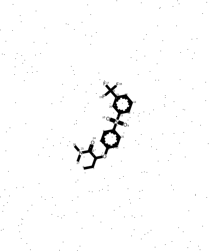 CCC(Oc1ccc(S(=O)(=O)c2cccc(C(F)(F)F)c2)cc1)C(=O)N(C)C